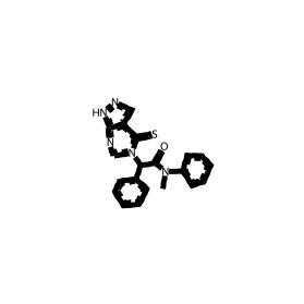 CN(C(=O)C(c1ccccc1)n1cnc2[nH]ncc2c1=S)c1ccccc1